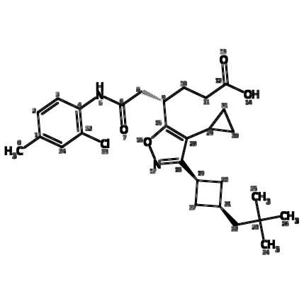 Cc1ccc(NC(=O)C[C@H](CCC(=O)O)c2onc([C@H]3C[C@@H](CC(C)(C)C)C3)c2C2CC2)c(Cl)c1